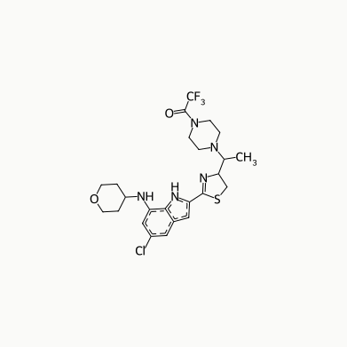 CC(C1CSC(c2cc3cc(Cl)cc(NC4CCOCC4)c3[nH]2)=N1)N1CCN(C(=O)C(F)(F)F)CC1